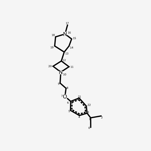 CC(C)c1ccc(OCCN2CC(C3CCN(C)CC3)C2)cc1